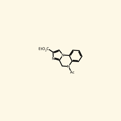 CCOC(=O)c1cn2c(n1)CN(C(C)=O)c1ccccc1-2